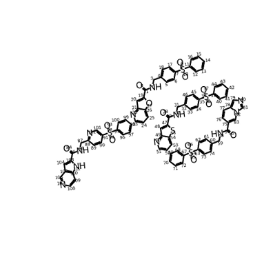 O=C(NCc1ccc(S(=O)(=O)c2ccccc2)cc1)c1cc2ncccc2o1.O=C(NCc1ccc(S(=O)(=O)c2ccccc2)cc1)c1cc2ncccc2s1.O=C(NCc1ccc(S(=O)(=O)c2ccccc2)cc1)c1ccc2cncn2c1.O=C(NCc1ccc(S(=O)(=O)c2ccccc2)cn1)c1cc2cnccc2[nH]1